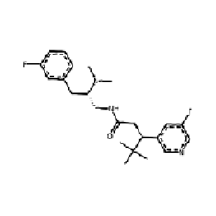 CN(C)[C@H](CNC(=O)C[C@@H](c1cncc(F)c1)C(C)(C)C)Cc1cccc(F)c1